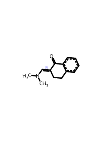 CN(C)/C=C1\CCc2ccccc2C1=O